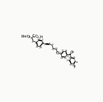 CO[C@@H](Cc1ccc(C#CCCCOc2ccc(C(=O)c3ccc(F)cc3)cc2)cc1)C(=O)O